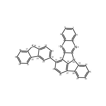 c1ccc2nc3c(nc2c1)c1c(-c2ccc4sc5ccccc5c4c2)ccc2c4ccccc4n3c21